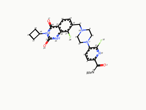 CNC(=O)c1ccc(N2CCN(Cc3ccc4c(=O)n(C5CCC5)c(=O)[nH]c4c3F)CC2)c(F)n1